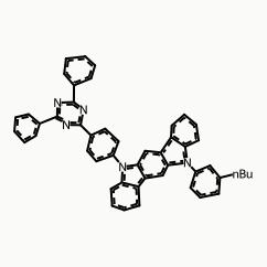 CCCCc1cccc(-n2c3ccccc3c3cc4c(cc32)c2ccccc2n4-c2ccc(-c3nc(-c4ccccc4)nc(-c4ccccc4)n3)cc2)c1